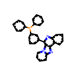 c1ccc(P(c2ccccc2)c2cccc(-c3nc4ccccc4c4nc5ccccn5c34)c2)cc1